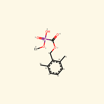 CCOP(=O)(O)C(=O)OCc1c(C)cccc1C